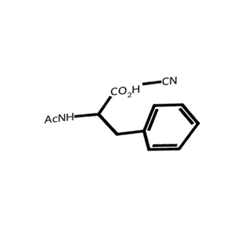 CC#N.CC(=O)NC(Cc1ccccc1)C(=O)O